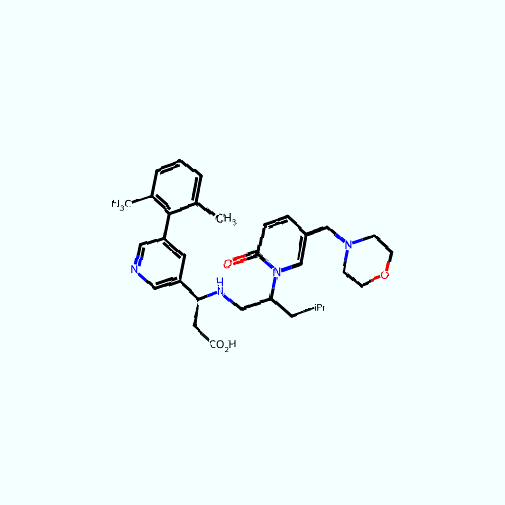 Cc1cccc(C)c1-c1cncc([C@H](CC(=O)O)NCC(CC(C)C)n2cc(CN3CCOCC3)ccc2=O)c1